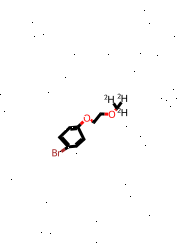 [2H]C([2H])([2H])OCCOc1ccc(Br)cc1